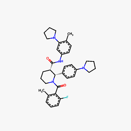 Cc1ccc(NC(=O)[C@H]2CCCN(C(=O)c3c(C)cccc3F)[C@H]2c2ccc(N3CCCC3)cc2)cc1N1CCCC1